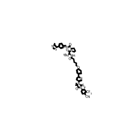 Cc1ncsc1-c1ccc(CNC(=O)[C@@H]2CCCN2C(=O)C(NC(=O)CCCCOc2ccc(-c3ccc(N4C(=S)N(c5ccc(C#N)c(C(F)(F)F)c5F)C(=O)C4(C)C)cn3)cc2)C(C)(C)C)cc1